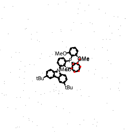 COc1cccc(OC)c1P(c1cccc(-n2c3ccc(C(C)(C)C)cc3c3cc(C(C)(C)C)ccc32)c1OC1CCCCO1)c1c(OC)cccc1OC